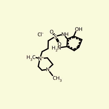 CN1CC[N+](C)(CCCS(=O)(=O)Nc2c(N)cccc2O)CC1.[Cl-]